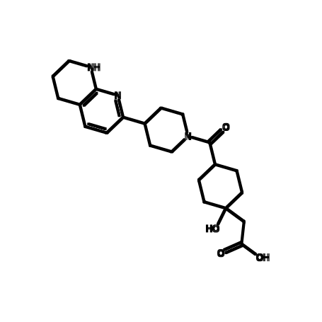 O=C(O)CC1(O)CCC(C(=O)N2CCC(c3ccc4c(n3)NCCC4)CC2)CC1